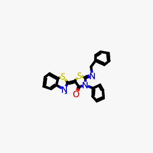 CN1/C(=C2/S/C(=N\Cc3ccccc3)N(c3ccccc3)C2=O)Sc2ccccc21